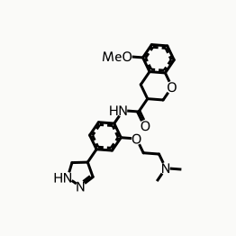 COc1cccc2c1CC(C(=O)Nc1ccc(C3C=NNC3)cc1OCCN(C)C)CO2